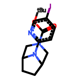 CC(C)(C)OC(=O)N1CC2CCC(C1)N2c1ccc(I)cn1